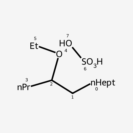 CCCCCCCCC(CCC)OCC.O=S(=O)(O)O